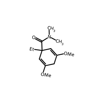 CCC1(C(=O)N(C)C)C=C(OC)CC(OC)=C1